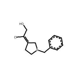 OCC(Cl)=C1CCN(Cc2ccccc2)C1